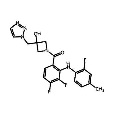 Cc1ccc(Nc2c(C(=O)N3CC(O)(Cn4ccnn4)C3)ccc(F)c2F)c(F)c1